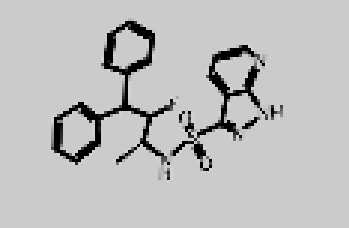 C[C@H](NS(=O)(=O)c1n[nH]c2ncccc12)C(F)C(c1ccccc1)c1ccccc1